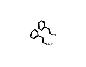 N#C/C=C/c1ccccc1.O=C(O)/C=C/c1ccccc1